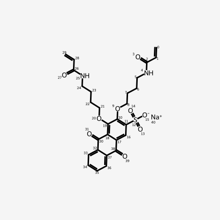 C=CC(=O)NCCCCOc1c(S(=O)(=O)[O-])cc2c(c1OCCCCNC(=O)C=C)C(=O)c1ccccc1C2=O.[Na+]